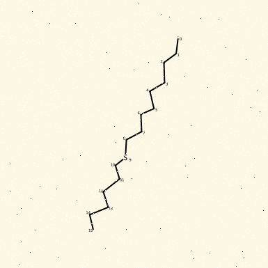 [CH2]CCCCCCCCSCCCCCC